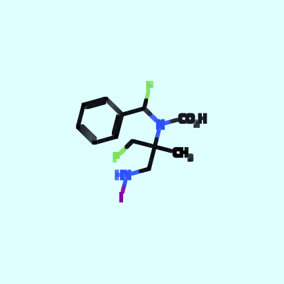 CC(CF)(CNI)N(C(=O)O)C(F)c1ccccc1